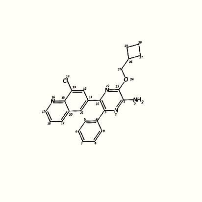 Nc1nc(-c2ccccc2)c(-c2cc(Cl)c3ncccc3c2)nc1OCC1CCC1